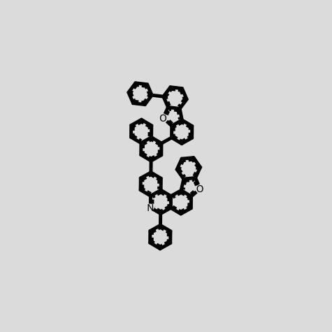 c1ccc(-c2nc3ccc(-c4cc(-c5cccc6c5oc5c(-c7ccccc7)cccc56)c5ccccc5c4)cc3c3c2ccc2oc4ccccc4c23)cc1